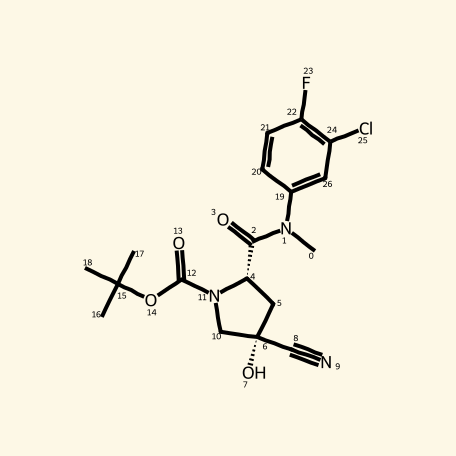 CN(C(=O)[C@@H]1C[C@@](O)(C#N)CN1C(=O)OC(C)(C)C)c1ccc(F)c(Cl)c1